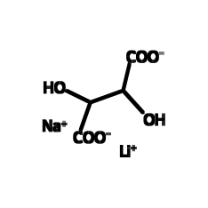 O=C([O-])C(O)C(O)C(=O)[O-].[Li+].[Na+]